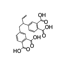 C=CC(Cc1ccc(C(=O)O)c(C(=O)O)c1)c1ccc(C(=O)O)c(C(=O)O)c1